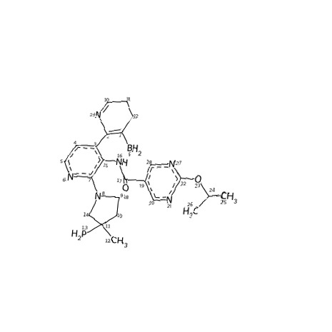 BC1=C(c2ccnc(N3CCC(C)(P)C3)c2NC(=O)c2cnc(OC(C)C)nc2)N=CCC1